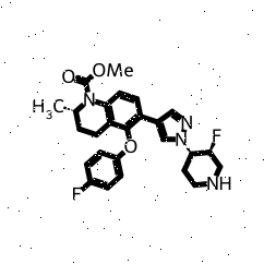 COC(=O)N1c2ccc(-c3cnn([C@H]4CCNC[C@@H]4F)c3)c(Oc3ccc(F)cc3)c2CC[C@@H]1C